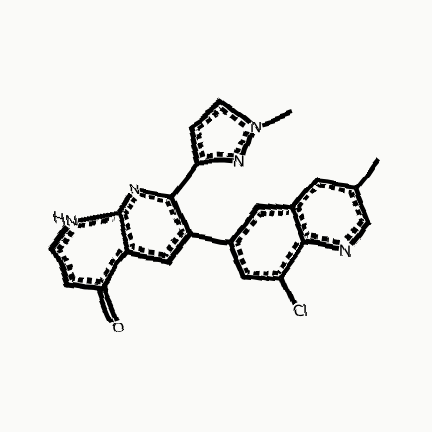 Cc1cnc2c(Cl)cc(-c3cc4c(=O)cc[nH]c4nc3-c3ccn(C)n3)cc2c1